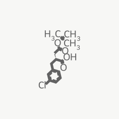 CC(C)(C)OC(=O)C[C@@H](Cc1cccc(Cl)c1)C(=O)O